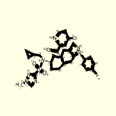 Cn1cnc(S(=O)(=O)N(CC2CC2)[C@H]2CCC3=Cc4c(cnn4-c4ccc(F)cc4)C[C@]3(C(=O)c3cc(Cl)ccn3)C2)n1